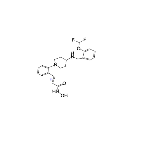 O=C(/C=C/c1ccccc1N1CCC(NCc2ccccc2OC(F)F)CC1)NO